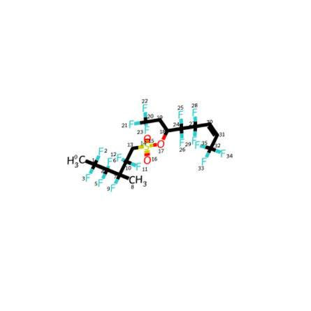 CC(F)(F)C(F)(F)C(C)(F)C(F)(F)CS(=O)(=O)OC(CC(F)(F)F)C(F)(F)C(F)(F)/C=C\C(F)(F)F